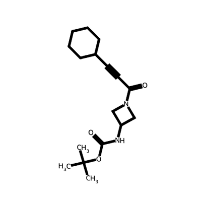 CC(C)(C)OC(=O)NC1CN(C(=O)C#CC2CCCCC2)C1